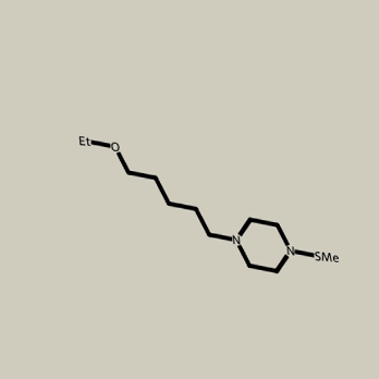 CCOCCCCCN1CCN(SC)CC1